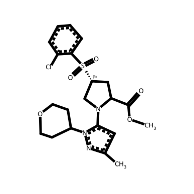 COC(=O)C1C[C@@H](S(=O)(=O)c2ccccc2Cl)CN1c1cc(C)nn1C1CCOCC1